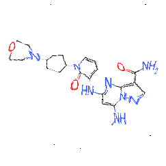 CNc1cc(Nc2cccn([C@H]3CC[C@@H](N4CCOCC4)CC3)c2=O)nc2c(C(N)=O)cnn12